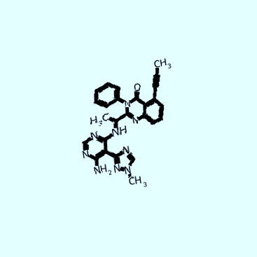 CC#Cc1cccc2nc(C(C)Nc3ncnc(N)c3-c3ncn(C)n3)n(-c3ccccc3)c(=O)c12